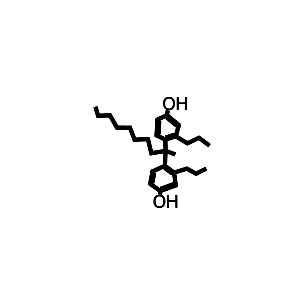 CCCCCCCCC(C)(c1ccc(O)cc1CCC)c1ccc(O)cc1CCC